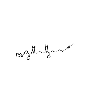 CC#CCCCCC(=O)NCCCNC(=O)OC(C)(C)C